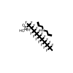 C=CCNCC=C.CC(F)(F)C(F)(F)C(F)(F)C(F)(F)C(F)(F)C(F)(F)C(F)(F)C(F)(F)C(F)(F)S(=O)(=O)O